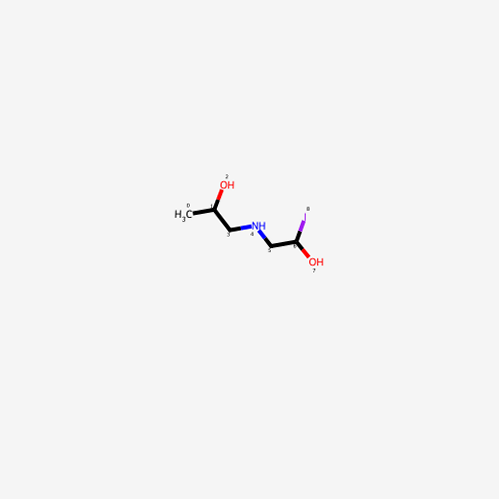 CC(O)CNCC(O)I